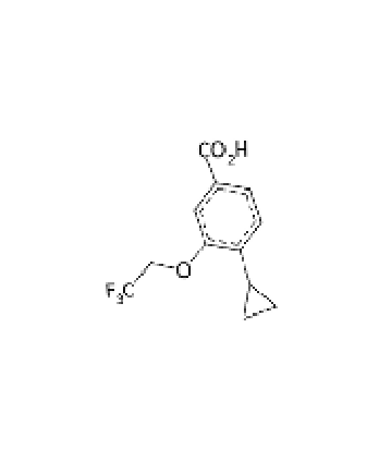 O=C(O)c1ccc(C2CC2)c(OCC(F)(F)F)c1